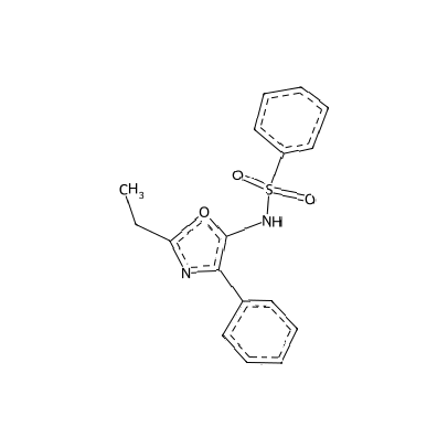 CCc1nc(-c2ccccc2)c(NS(=O)(=O)c2ccccc2)o1